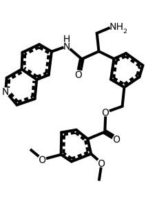 COc1ccc(C(=O)OCc2cccc(C(CN)C(=O)Nc3ccc4cnccc4c3)c2)c(OC)c1